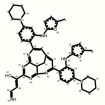 Cc1ccc(Nc2cc(N3CCCCC3)ccc2C2=CC3=CC(c4ccc(N5CCCCC5)cc4Nc4ccc(C)o4)=NC4=NC(/C(O)=C/C=N)=NC(=N2)C4C3)o1